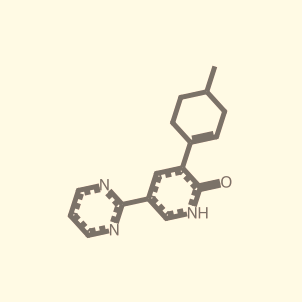 CC1CC=C(c2cc(-c3ncccn3)c[nH]c2=O)CC1